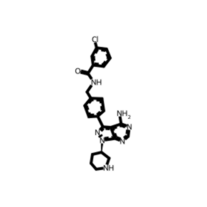 Nc1ncnc2c1c(-c1ccc(CNC(=O)c3cccc(Cl)c3)cc1)nn2[C@@H]1CCCNC1